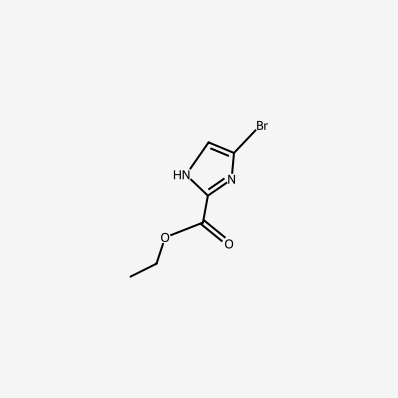 CCOC(=O)c1nc(Br)c[nH]1